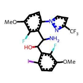 COc1ccc(-n2ccc(C(F)(F)F)n2)c(C(N)C(O)c2c(I)ccc(OC)c2F)c1F